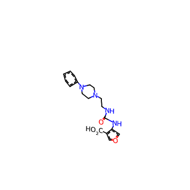 O=C(NCCN1CCN(c2ccccc2)CC1)Nc1cocc1C(=O)O